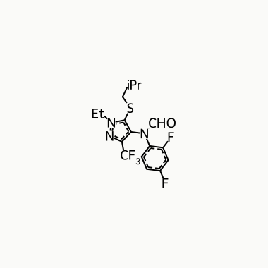 CCn1nc(C(F)(F)F)c(N(C=O)c2ccc(F)cc2F)c1SCC(C)C